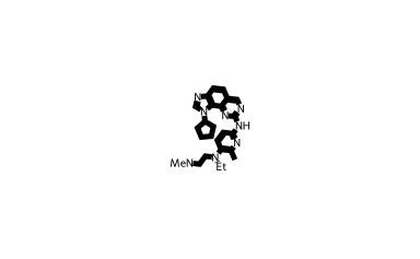 CCN(CCNC)c1ccc(Nc2ncc3ccc4ncn(C5CCCC5)c4c3n2)nc1C